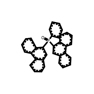 O=P(c1ccccc1)(c1cc2ccccc2c2ccccc12)c1cc2ccccc2c2ccccc12